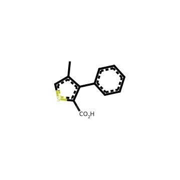 Cc1csc(C(=O)O)c1-c1ccccc1